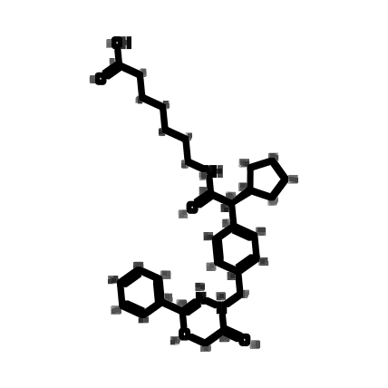 O=C(O)CCCCCCNC(=O)[C@H](c1ccc(CN2N=C(c3ccccc3)OCC2=O)cc1)C1CCCC1